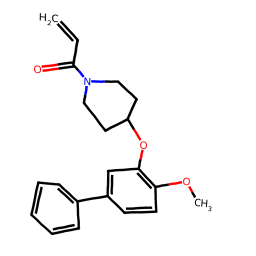 C=CC(=O)N1CCC(Oc2cc(-c3ccccc3)ccc2OC)CC1